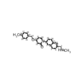 CNCc1ccc2cc(-n3ccc(OCc4ccc(C)cc4)cc3=O)ccc2n1